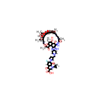 COc1c(N2CCC(CN3CCC4(CC3)N=C3C(=C5NC(=O)/C(C)=C\C=C\[C@H](C)[C@H](O)[C@@H](C)[C@@H](O)[C@@H](C)[C@H](OC(C)=O)[C@H](C)[C@@H](OC)/C=C/O[C@@]6(C)Oc7c(C)c(O)c(c3c7C6=O)C5=O)N4)C2)c(F)cc2c(=O)c(C(=O)O)cn(C3CC3)c12